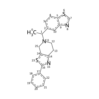 CC(c1ccc2scnc2c1)N1CCc2nc(-c3ccccc3)sc2C1